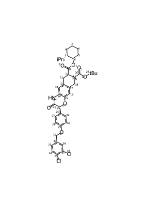 CC(C)[C@@H]1CCCC[C@H]1OC(=O)[C@@H]1Cc2cc3c(cc2CN1C(=O)OC(C)(C)C)O[C@@H](c1ccc(OCc2ccc(Cl)c(Cl)c2)cc1)C(=O)N3